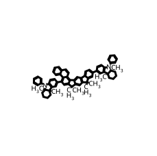 CC1(C)c2cc(-c3ccc4c(c3)C3(C)CCCCC3(C)N4c3ccccc3)ccc2-c2cc3c(cc21)C(C)(C)c1cc(-c2ccc4c(c2)C2(C)CCCCC2(C)N4c2ccccc2)c2c(ccc4ccccc42)c1-3